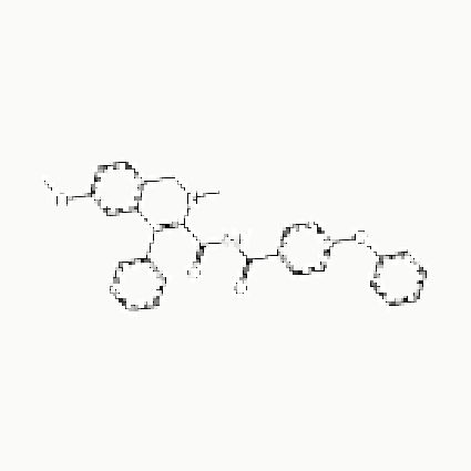 COc1ccc2c(c1)C(c1ccccc1)=C(C(=O)NC(=O)c1ccc(Oc3ccccc3)cc1)N(C)C2